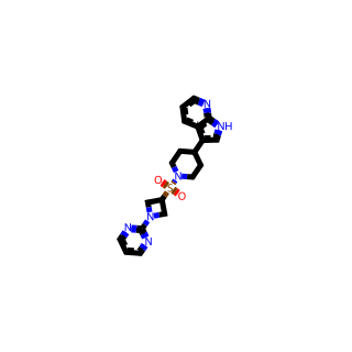 O=S(=O)(C1CN(c2ncccn2)C1)N1CCC(c2c[nH]c3ncccc23)CC1